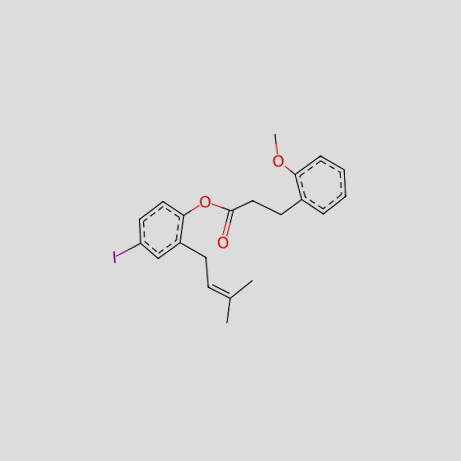 COc1ccccc1CCC(=O)Oc1ccc(I)cc1CC=C(C)C